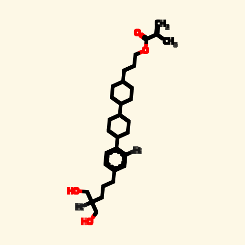 C=C(C)C(=O)OCCCC1CCC(C2CCC(c3ccc(CCCC(CC)(CO)CO)cc3CC)CC2)CC1